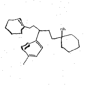 CCCC1(CCC(CC2=CCCCC2)c2ccc(C)cc2)CCCCC1